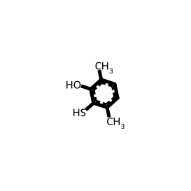 Cc1ccc(C)c(S)c1O